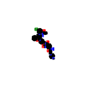 C=CC(=O)Nc1ccc(Cl)cc1N1CCC(C(=O)N2CCC(O)(Cn3cnc4cc(NC(=O)CCN5CCN(C)CC5)ccc4c3=O)CC2)C(c2ccccc2)C1